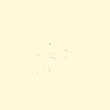 OC1Cc2c(F)cc(F)cc2C1n1nc(-c2ccc(F)cc2)c2c1CCN(CC1CC1)C2